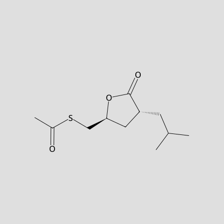 CC(=O)SC[C@@H]1C[C@@H](CC(C)C)C(=O)O1